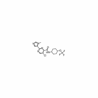 Cn1cncc1-c1ncc(Cl)c(C(=O)NC2CCC(OC(F)(F)F)CC2)n1